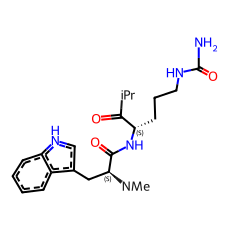 CN[C@@H](Cc1c[nH]c2ccccc12)C(=O)N[C@@H](CCCNC(N)=O)C(=O)C(C)C